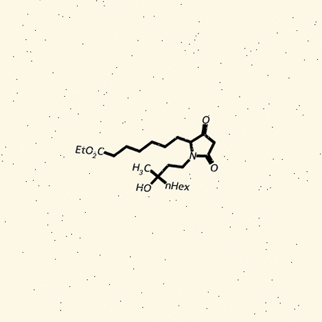 CCCCCCC(C)(O)CCN1C(=O)CC(=O)C1CCCCCCC(=O)OCC